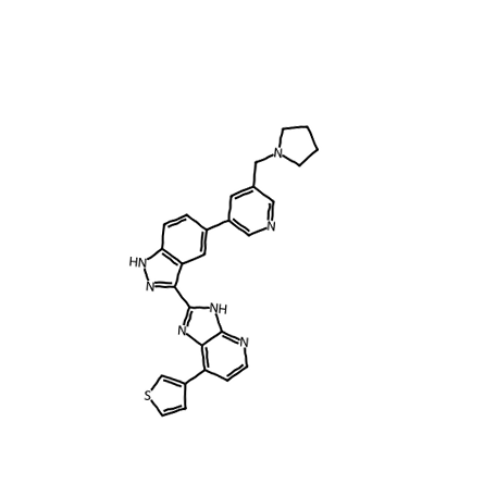 c1cc(-c2ccsc2)c2nc(-c3n[nH]c4ccc(-c5cncc(CN6CCCC6)c5)cc34)[nH]c2n1